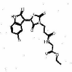 CCOC(=O)CNC(=O)CCN1C(=O)/C(=C2/C(=O)Nc3ccc(Br)cc32)SC1=S